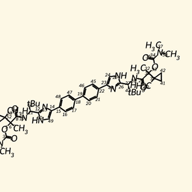 CN(C)C(=O)OC(C)(C(=O)N[C@H](c1nc(-c2ccc(-c3ccc(-c4c[nH]c([C@@H](NC(=O)C(C)(OC(=O)N(C)C)C5(C)CC5)C(C)(C)C)n4)cc3)cc2)c[nH]1)C(C)(C)C)C1(C)CC1